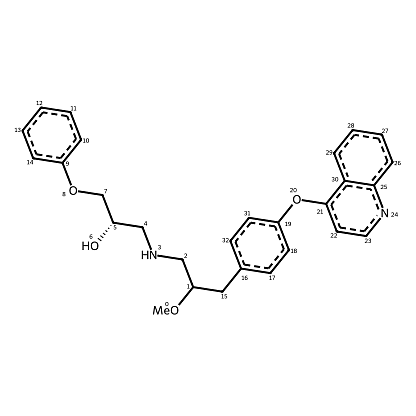 COC(CNC[C@H](O)COc1ccccc1)Cc1ccc(Oc2ccnc3ccccc23)cc1